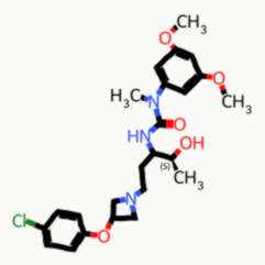 COc1cc(OC)cc(N(C)C(=O)NC(CCN2CC(Oc3ccc(Cl)cc3)C2)[C@H](C)O)c1